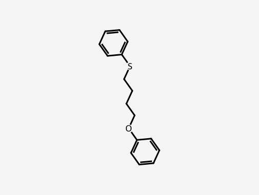 c1ccc(OCCCCSc2ccccc2)cc1